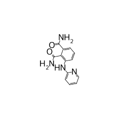 NC(=O)c1cccc(Nc2ccccn2)c1C(N)=O